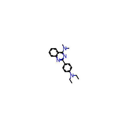 CCN(CC)c1ccc(-c2nc(N(C)C)c3ccccc3n2)cc1